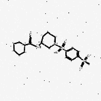 CS(=O)(=O)c1ccc(S(=O)(=O)N2CCC[C@H](NC(=O)C3CCCCC3)C2)cc1